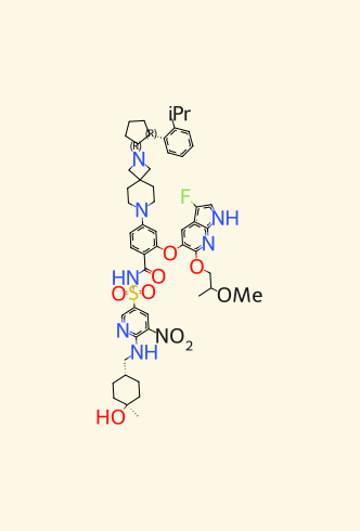 COC(C)COc1nc2[nH]cc(F)c2cc1Oc1cc(N2CCC3(CC2)CN([C@@H]2CCC[C@@H]2c2ccccc2C(C)C)C3)ccc1C(=O)NS(=O)(=O)c1cnc(NC[C@H]2CC[C@](C)(O)CC2)c([N+](=O)[O-])c1